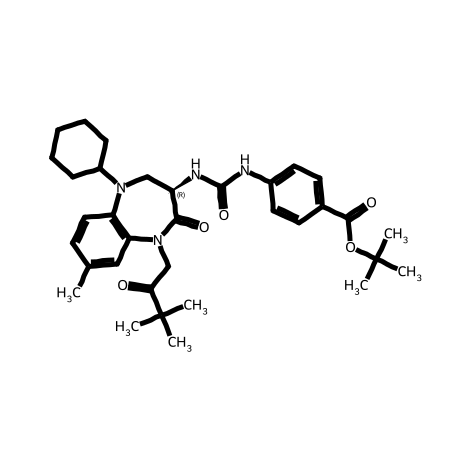 Cc1ccc2c(c1)N(CC(=O)C(C)(C)C)C(=O)[C@H](NC(=O)Nc1ccc(C(=O)OC(C)(C)C)cc1)CN2C1CCCCC1